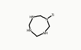 [Ti][N]1CNCNCNC1